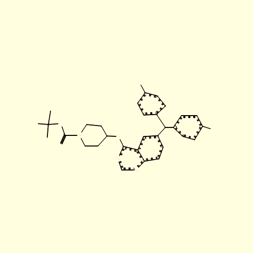 CC(C)(C)OC(=O)N1CCC(Nc2ncnc3ccc(C(c4ccc(Cl)cc4)c4ccc(Cl)cc4)cc23)CC1